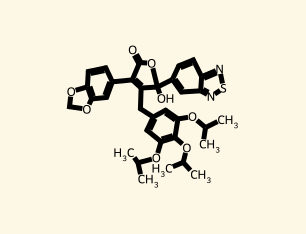 CC(C)Oc1cc(CC2=C(c3ccc4c(c3)OCO4)C(=O)OC2(O)c2ccc3nsnc3c2)cc(OC(C)C)c1OC(C)C